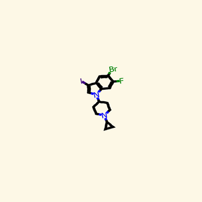 Fc1cc2c(cc1Br)c(I)cn2C1CCN(C2CC2)CC1